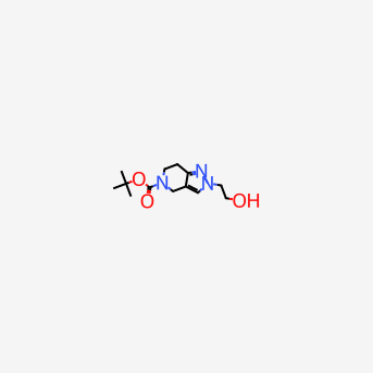 CC(C)(C)OC(=O)N1CCc2nn(CCO)cc2C1